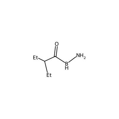 CCC(CC)C(=O)BN